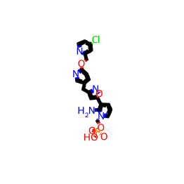 Nc1c(-c2cc(Cc3ccc(OCc4cc(Cl)ccn4)nc3)no2)ccc[n+]1COP(=O)([O-])O